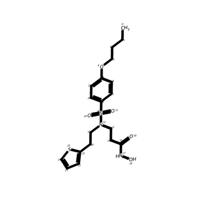 CCCCOc1ccc(S(=O)(=O)N(CCC(=O)NO)CCc2cccs2)cc1